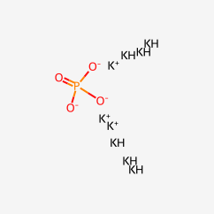 O=P([O-])([O-])[O-].[K+].[K+].[K+].[KH].[KH].[KH].[KH].[KH].[KH]